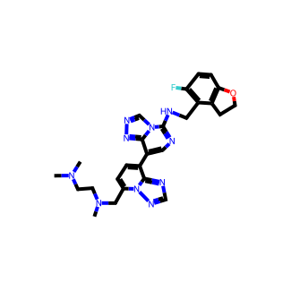 CN(C)CCN(C)Cc1ccc(-c2cnc(NCc3c(F)ccc4c3CCO4)n3cnnc23)c2ncnn12